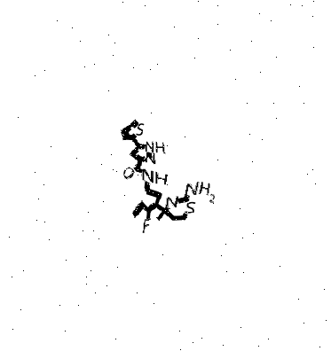 C=C/C(F)=C(\C=C\NC(=O)c1cc(-c2cccs2)[nH]n1)C1(C)CCSC(N)=N1